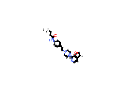 CCCC(=O)NC1CCC(CCN2CCN(c3nccc4c3OCC4)CC2)CC1